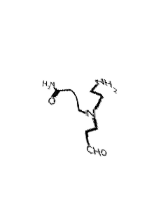 NCCN(CCC=O)CCC(N)=O